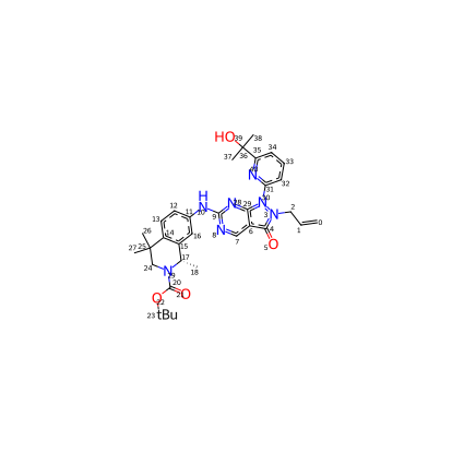 C=CCn1c(=O)c2cnc(Nc3ccc4c(c3)[C@H](C)N(C(=O)OC(C)(C)C)CC4(C)C)nc2n1-c1cccc(C(C)(C)O)n1